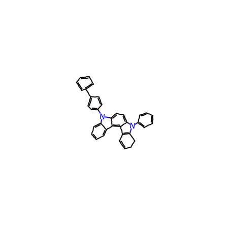 C1=Cc2c(n(-c3ccccc3)c3ccc4c(c5ccccc5n4-c4ccc(-c5ccccc5)cc4)c23)CC1